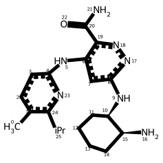 Cc1ccc(Nc2cc(N[C@@H]3CCCC[C@@H]3N)nnc2C(N)=O)nc1C(C)C